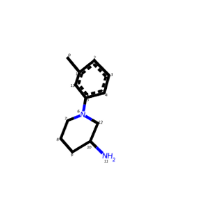 Cc1cccc(N2CCCC(N)C2)c1